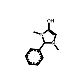 CN1C=C(O)N(C)C1c1ccccc1